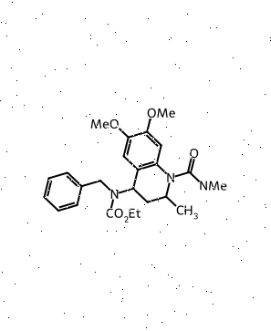 CCOC(=O)N(Cc1ccccc1)C1CC(C)N(C(=O)NC)c2cc(OC)c(OC)cc21